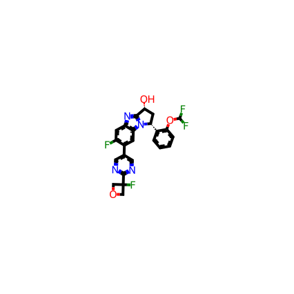 O[C@@H]1C[C@H](c2ccccc2OC(F)F)n2c1nc1cc(F)c(-c3cnc(C4(F)COC4)nc3)cc12